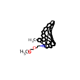 COCCOCCN1CC2C3=c4c5c6c7c(cc8cc9cc%10cc%11cc%12c%13c(c4c4c5c5c7c8c7c9c%10c8c%11c%13c4c8c75)=C(C3)C%12)CC62C1c1cccc(C)c1